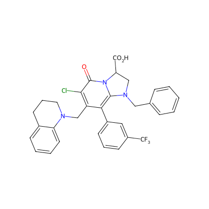 O=C(O)C1CN(Cc2ccccc2)c2c(-c3cccc(C(F)(F)F)c3)c(CN3CCCc4ccccc43)c(Cl)c(=O)n21